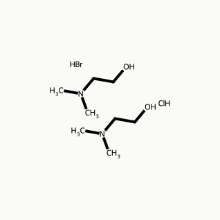 Br.CN(C)CCO.CN(C)CCO.Cl